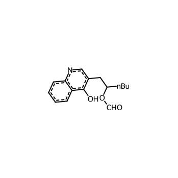 CCCCC(Cc1cnc2ccccc2c1O)OC=O